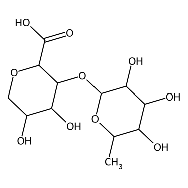 CC1OC(OC2C(C(=O)O)OCC(O)C2O)C(O)C(O)C1O